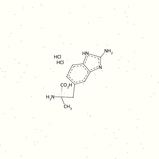 C[C@@](N)(Cc1ccc2[nH]c(N)nc2c1)C(=O)O.Cl.Cl